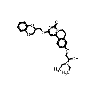 CCN(CC)C(O)COc1ccc2c(c1)CCn1c-2cc(OCC2COc3ccccc3O2)nc1=O